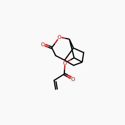 C=CC(=O)OC1C2CC3CC(=O)OC1C3C2